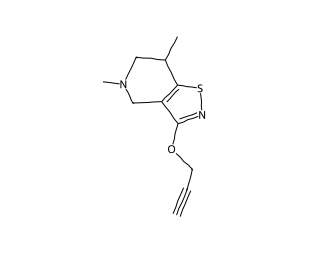 C#CCOc1nsc2c1CN(C)CC2C